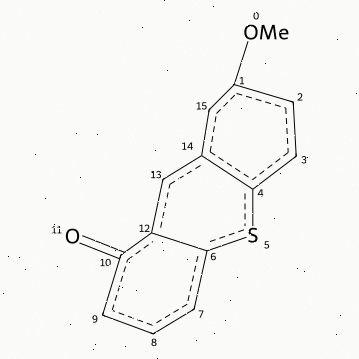 COc1ccc2sc3cccc(=O)c-3cc2c1